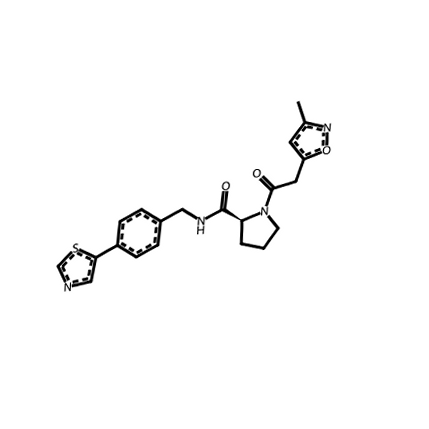 Cc1cc(CC(=O)N2CCC[C@H]2C(=O)NCc2ccc(-c3cncs3)cc2)on1